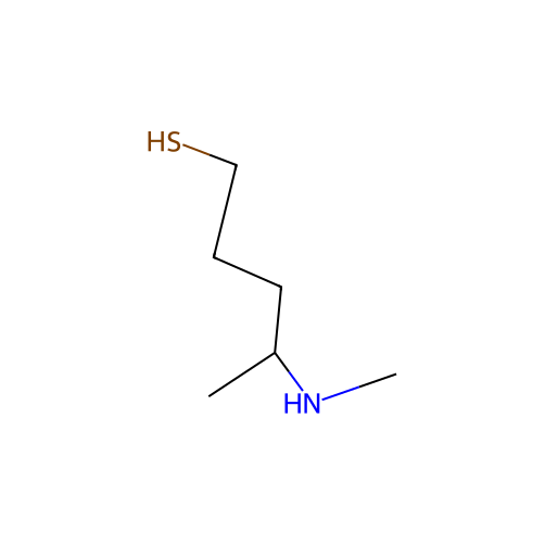 CNC(C)CCCS